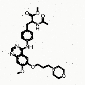 COC(=O)C(Cc1ccc(Nc2ncnc3cc(OC)c(OCCCN4CCOCC4)cc23)cc1)NC(C)=O